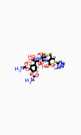 CO[C@@]1(NC(=O)C(C(=O)O)c2ccc(OC(N)=O)c(OC(N)=O)c2)C(=O)N2C(C(=O)O)=C(CSc3nnnn3C)CS[C@H]21